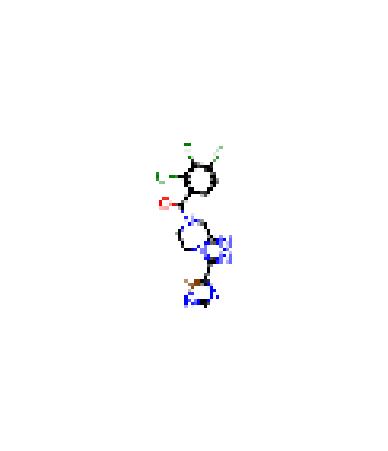 O=C(c1ccc(Cl)c(F)c1Cl)N1CCn2c(nnc2-c2ncns2)C1